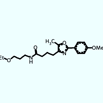 CCOCCCNC(=O)CCCc1nc(-c2ccc(OC)cc2)oc1C